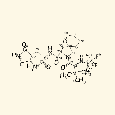 CC(C)(C)[C@H](NC(=O)C(F)(F)F)C(=O)N1CC2(CCCCO2)C[C@H]1C(=O)N[C@@H](C[C@@H]1CCNC1=O)C(N)=O